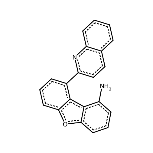 Nc1cccc2oc3cccc(-c4ccc5ccccc5n4)c3c12